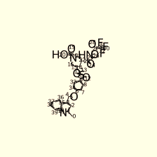 Cc1cc(COc2ccc(S(=O)(=O)C[C@@H]3CCN(C(=O)O)C[C@@H]3C(=O)NOC(=O)C(F)(F)F)cc2)c2ccccc2n1